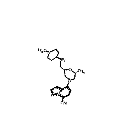 C[C@@H]1CN(c2ccc(C#N)n3nccc23)C[C@H](CNC2CCN(C)CC2)O1